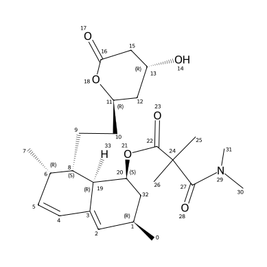 C[C@H]1C=C2C=C[C@H](C)[C@H](CC[C@@H]3C[C@@H](O)CC(=O)O3)[C@H]2[C@@H](OC(=O)C(C)(C)C(=O)N(C)C)C1